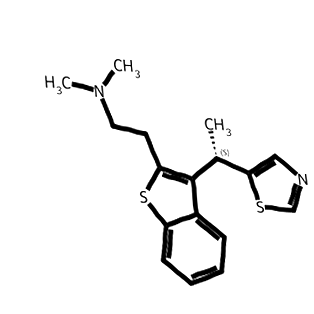 C[C@H](c1cncs1)c1c(CCN(C)C)sc2ccccc12